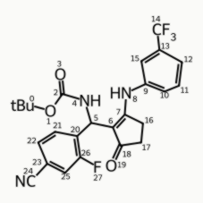 CC(C)(C)OC(=O)NC(C1=C(Nc2cccc(C(F)(F)F)c2)CCC1=O)c1ccc(C#N)cc1F